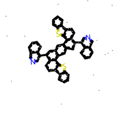 c1ccc2c(-c3cc4cc5c(cc(-c6cncc7ccccc67)c6ccc7c8ccccc8sc7c65)cc4c4c3ccc3c5ccccc5sc34)cncc2c1